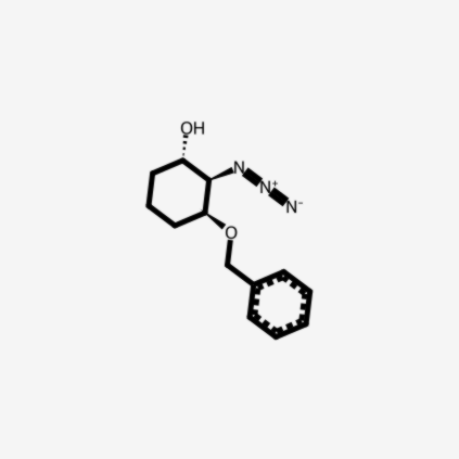 [N-]=[N+]=N[C@H]1[C@@H](OCc2ccccc2)CCC[C@@H]1O